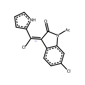 CC(=O)N1C(=O)/C(=C(/Cl)c2ccc[nH]2)c2ccc(Cl)cc21